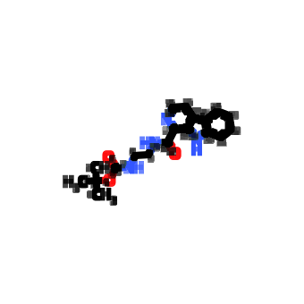 CC(C)(C)OC(=O)NCCNC(=O)c1nccc2c1[nH]c1ccccc12